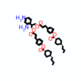 CCCC[C@H]1CC[C@H](C(=O)Oc2ccc(/C=C/C(=O)OCC(COC(=O)/C=C/c3ccc(OC(=O)[C@H]4CC[C@H](CCCC)CC4)cc3)c3ccc(N)cc3N)cc2)CC1